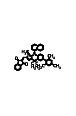 Cc1cc(C)c(-c2ccc3c(c2)C(C)(C)c2cc(C=C4C(=O)c5ccccc5C4=O)n(C)c2N3c2cccc3ccccc23)c(C)c1